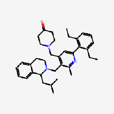 CCc1cccc(CC)c1-c1cc(CN2CCC(=O)CC2)c(CN2CCc3ccccc3C2CC(C)C)c(C)n1